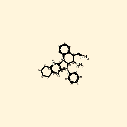 C=CC1c2ccccc2N2c3nc4c(nc3N(c3ccccc3)C2C1C)CCCC4